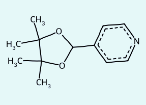 CC1(C)OC(c2ccncc2)OC1(C)C